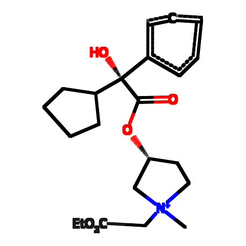 CCOC(=O)C[N+]1(C)CC[C@@H](OC(=O)[C@](O)(c2ccccc2)C2CCCC2)C1